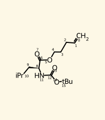 C=CCCCOC(=O)[C@H](CC(C)C)NC(=O)OC(C)(C)C